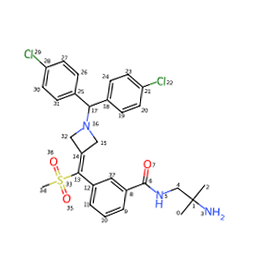 CC(C)(N)CNC(=O)c1cccc(C(=C2CN(C(c3ccc(Cl)cc3)c3ccc(Cl)cc3)C2)S(C)(=O)=O)c1